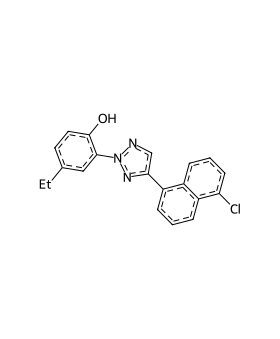 CCc1ccc(O)c(-n2ncc(-c3cccc4c(Cl)cccc34)n2)c1